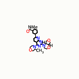 CNC(=O)c1cccc(-c2ccc3c(N4CCOC[C@@H]4C)nc(N4CCO[C@H]5COC[C@@H]54)nc3n2)c1